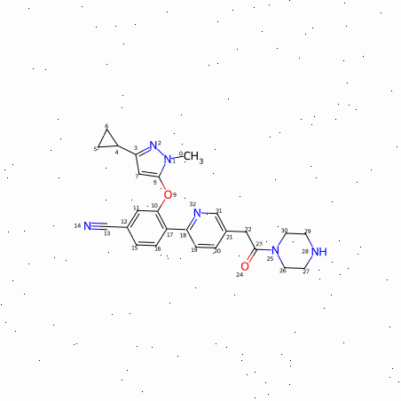 Cn1nc(C2CC2)cc1Oc1cc(C#N)ccc1-c1ccc(CC(=O)N2CCNCC2)cn1